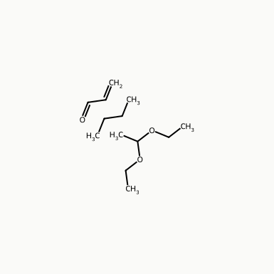 C=CC=O.CCCC.CCOC(C)OCC